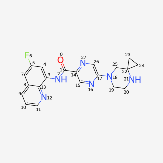 O=C(Nc1cc(F)cc2cccnc12)c1cnc(N2CCNC3(CC3)C2)cn1